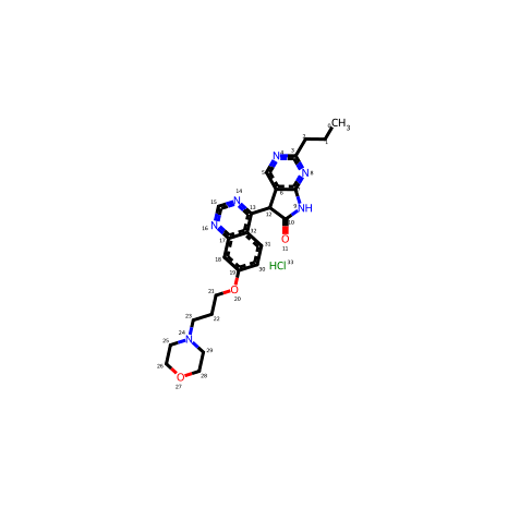 CCCc1ncc2c(n1)NC(=O)C2c1ncnc2cc(OCCCN3CCOCC3)ccc12.Cl